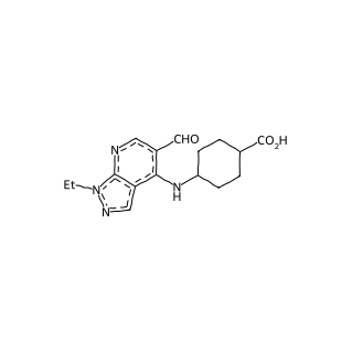 CCn1ncc2c(NC3CCC(C(=O)O)CC3)c(C=O)cnc21